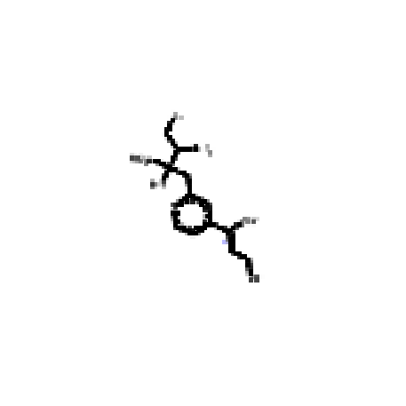 CCC/C(=C\CC(C)CC)c1ccnc(CC(O)(C(=O)O)C(N)CC(C)C)c1